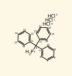 Cl.Cl.Cl.PC(c1ccccc1)(c1ccccc1)c1ccccc1